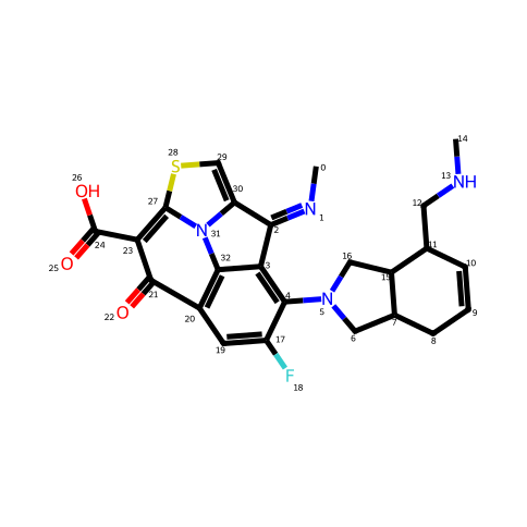 CN=c1c2c(N3CC4CC=CC(CNC)C4C3)c(F)cc3c(=O)c(C(=O)O)c4scc1n4c32